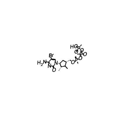 C=P(C)(OC[C@H]1C[C@@H](n2cc(Br)c(N)nc2=O)[C@@H](C)C1C)OP(C)(=O)OP(C)(=O)O